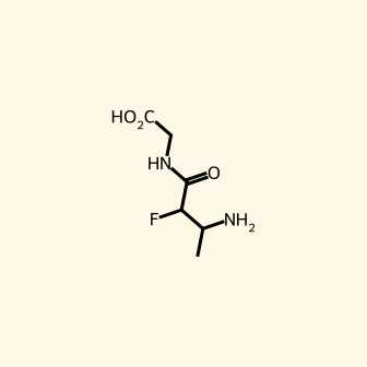 CC(N)C(F)C(=O)NCC(=O)O